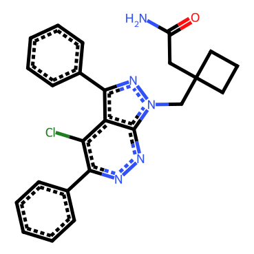 NC(=O)CC1(Cn2nc(-c3ccccc3)c3c(Cl)c(-c4ccccc4)nnc32)CCC1